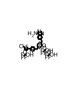 Nc1ncnc2cc(CN3CCN(Cc4ccc(-c5ccc(Cl)s5)nc4)CC3=O)ccc12.O=C(O)C(F)(F)F.O=C(O)C(F)(F)F.O=C(O)C(F)(F)F